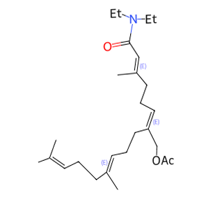 CCN(CC)C(=O)/C=C(\C)CC/C=C(\CC/C=C(\C)CCC=C(C)C)COC(C)=O